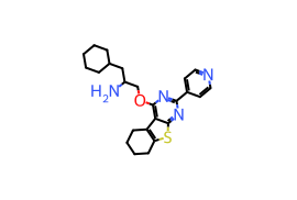 NC(COc1nc(-c2ccncc2)nc2sc3c(c12)CCCC3)CC1CCCCC1